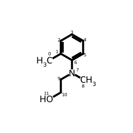 Cc1ccccc1N(C)CCO